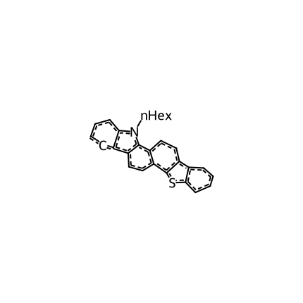 CCCCCCn1c2ccccc2c2ccc3c(ccc4c5ccccc5sc43)c21